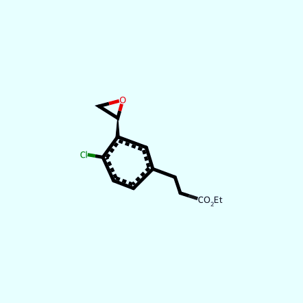 CCOC(=O)CCc1ccc(Cl)c([C@H]2CO2)c1